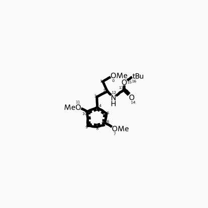 COCC(Cc1cc(OC)ccc1OC)NC(=O)OC(C)(C)C